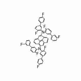 Fc1ccc(-c2ccc(F)c(N(c3cc(-c4cccc(F)c4)ccc3F)c3cc4cccc5c(N(c6cc(-c7ccc(F)cc7)ccc6F)c6cc(-c7cccc(F)c7)ccc6F)cc6cccc3c6c45)c2)cc1